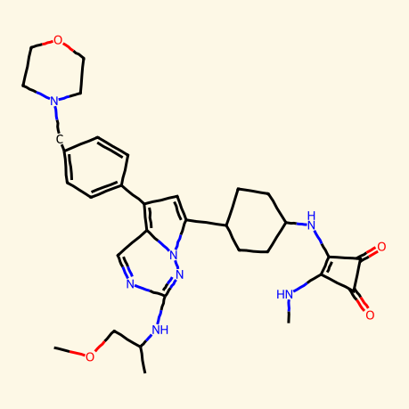 CNc1c(NC2CCC(c3cc(-c4ccc(CN5CCOCC5)cc4)c4cnc(NC(C)COC)nn34)CC2)c(=O)c1=O